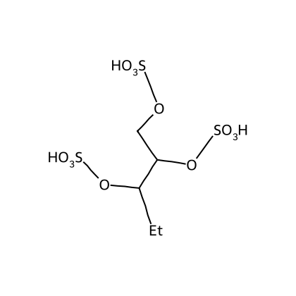 CCC(OS(=O)(=O)O)C(COS(=O)(=O)O)OS(=O)(=O)O